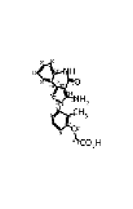 Cc1c(OCC(=O)O)cccc1-n1nc2c(c1N)c(=O)[nH]c1ccccc12